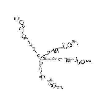 Bc1ccc(OC(=O)CCc2cn(CCCOCCOCCCOCC(COCCCOCCOCCCn3cc(CCC(=O)Oc4ccc(B)cc4)nn3)(COCCOCCn3cc(CCC(=O)Oc4ccc(B)cc4)nn3)COCCOCCn3cc(CCC(=O)Oc4ccc(B)cc4)nn3)nn2)cc1